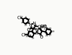 CC1=NN(c2ccc(Cl)cc2)C(=O)C12c1cc(Cl)ccc1-n1c(=O)c(-c3ccccc3O)c(C)n12